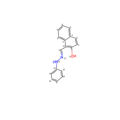 Oc1ccc2ccccc2c1C=NNc1ccccc1